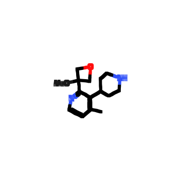 COC1(c2nccc(C)c2C2CCNCC2)COC1